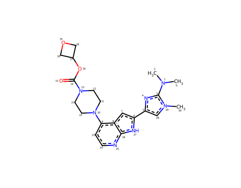 CN(C)c1nc(-c2cc3c(N4CCN(C(=O)OC5COC5)CC4)ccnc3[nH]2)cn1C